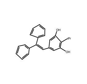 CC(C)c1c(O)cc(C=C(c2ccccc2)c2ccccc2)cc1O